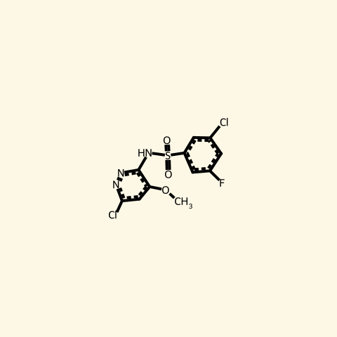 COc1cc(Cl)nnc1NS(=O)(=O)c1cc(F)cc(Cl)c1